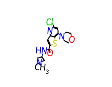 CN1CC(NC(=O)c2cc3nc(Cl)cc(N4CCOCC4)c3s2)C1